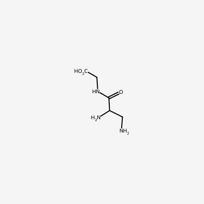 NCC(N)C(=O)NCC(=O)O